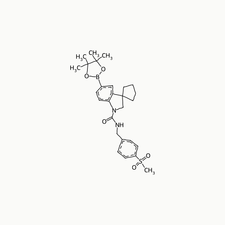 CC1(C)OB(c2ccc3c(c2)C2(CCCC2)CN3C(=O)NCc2ccc(S(C)(=O)=O)cc2)OC1(C)C